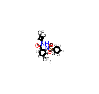 O=C(NC12CC(C(F)(F)F)(C1)C2)c1ccc(C(F)(F)F)cc1NS(=O)(=O)c1ccccc1